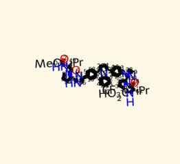 COC(=O)N[C@H](C(=O)N1CCC[C@H]1c1nc(-c2ccc([C@@H]3CC[C@@H](c4ccc(-n5ccnc5[C@@H]5CCCN5C(=O)[C@@H](NC(=O)O)C(C)C)cc4)N3c3ccc(C(F)(F)F)cc3)cc2)c[nH]1)C(C)C